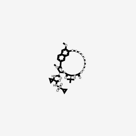 COc1cc2ccc3cc2cc1CCCCCCCCOC(=O)N[C@@H](C(C)(C)C)C(=O)N1C[C@@]3(OC)C[C@H]1C(=O)NC1(C(=O)NS(=O)(=O)C2CC2)CC1